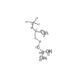 CC(C)(C)CC(O)CCOB(O)O